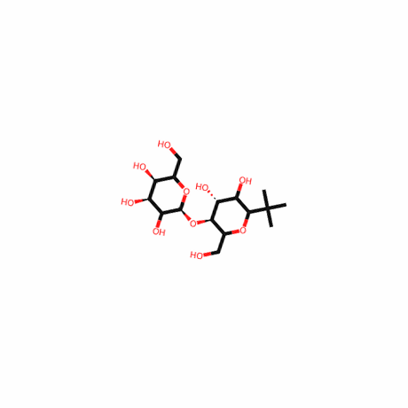 CC(C)(C)C1OC(CO)[C@@H](O[C@@H]2OC(CO)[C@H](O)[C@H](O)C2O)[C@H](O)C1O